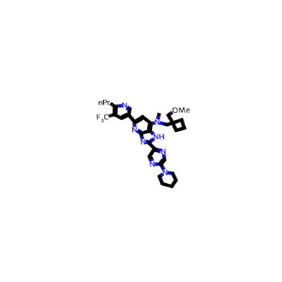 CCCc1ncc(-c2cc(N(C)CC3(COC)CCC3)c3[nH]c(-c4cnc(N5CCCCC5)cn4)nc3n2)cc1C(F)(F)F